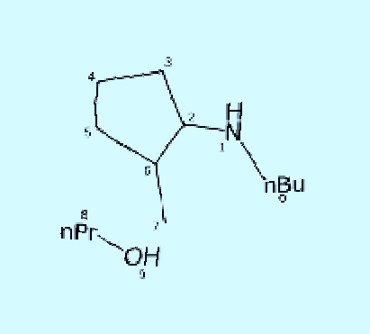 CCCCNC1CCCC1C.CCCO